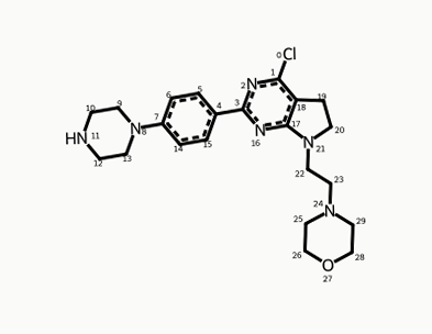 Clc1nc(-c2ccc(N3CCNCC3)cc2)nc2c1CCN2CCN1CCOCC1